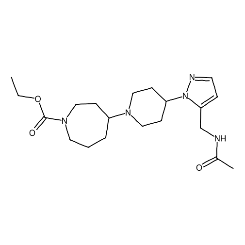 CCOC(=O)N1CCCC(N2CCC(n3nccc3CNC(C)=O)CC2)CC1